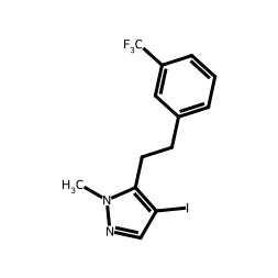 Cn1ncc(I)c1CCc1cccc(C(F)(F)F)c1